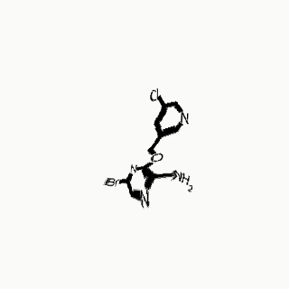 Nc1ncc(Br)nc1OCc1cncc(Cl)c1